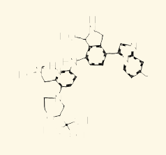 CN(C)Cc1nc(Nc2ccc(-c3cnc4cc(F)ccn34)c3c2C(O)NC3)ccc1N1CCO[C@H](C(C)(C)O)C1